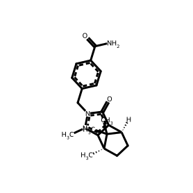 Cn1c2c(c(=O)n1Cc1ccc(C(N)=O)cc1)[C@H]1CC[C@]2(C)C1(C)C